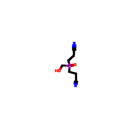 N#CCCP(=O)(CO)CCC#N